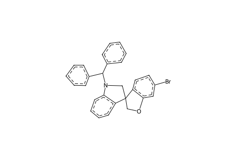 Brc1ccc2c(c1)OCC21CN(C(c2ccccc2)c2ccccc2)c2ccccc21